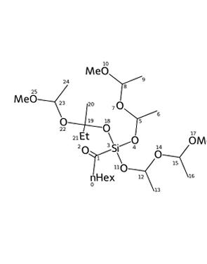 CCCCCCC(=O)[Si](OC(C)OC(C)OC)(OC(C)OC(C)OC)OC(C)(CC)OC(C)OC